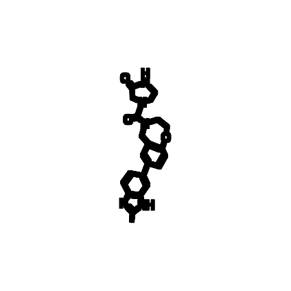 Cc1nc2ccc(-c3ccc4c(c3)CN(C(=O)N3CCNC(=O)C3)CCO4)cc2[nH]1